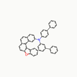 c1ccc(-c2ccc(N(c3cccc(-c4ccccc4)c3)c3ccc4ccc5ccc6oc7ccccc7c6c5c4c3)cc2)cc1